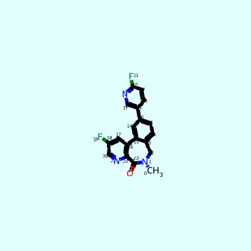 CN1Cc2ccc(-c3ccc(F)nc3)cc2-c2cc(F)cnc2C1=O